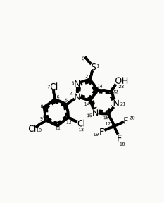 CSc1nn(-c2c(Cl)cc(Cl)cc2Cl)c2nc(C(F)(F)F)nc(O)c12